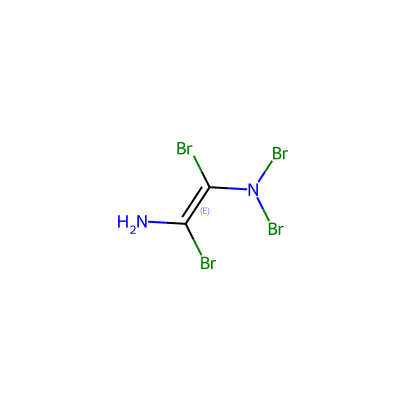 N/C(Br)=C(\Br)N(Br)Br